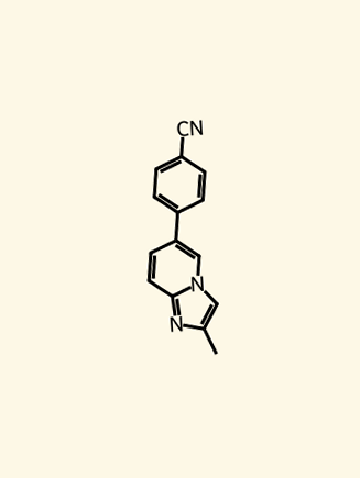 Cc1cn2cc(-c3ccc(C#N)cc3)ccc2n1